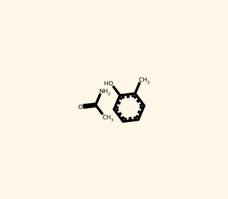 CC(N)=O.Cc1ccccc1O